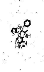 CC(Nc1ncnc2[nH]cnc12)C1=Nc2sccc2SN1c1ccccc1